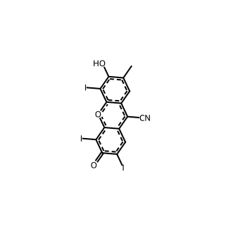 Cc1cc2c(C#N)c3cc(I)c(=O)c(I)c-3oc2c(I)c1O